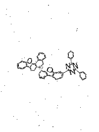 c1ccc(-c2nc(-c3ccccc3)nc(-c3ccc4c(c3)oc3c([C@H]5Cc6ccccc6-c6c5ccc5c6oc6ccccc65)cccc34)n2)cc1